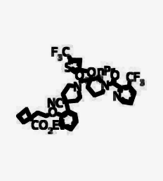 CCC[C@H]1N(C(=O)c2ncccc2C(F)(F)F)CCC[C@@]1(Oc1csc(C(F)(F)F)c1)C(=O)N1CCC(C#N)(c2ccccc2OCCC2(C(=O)OCC)CCC2)CC1